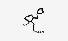 COCCC1C(Br)=CC=CC1Cc1ccccc1